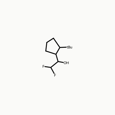 CC(C)(C)C1CCCC1C(O)C(F)F